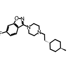 C[C@H]1CC[C@H](CCN2CCN(c3noc4cc(F)ccc34)CC2)CC1